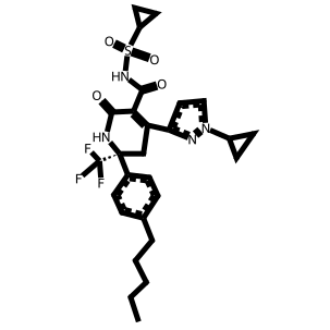 CCCCCc1ccc([C@]2(C(F)(F)F)CC(c3ccn(C4CC4)n3)=C(C(=O)NS(=O)(=O)C3CC3)C(=O)N2)cc1